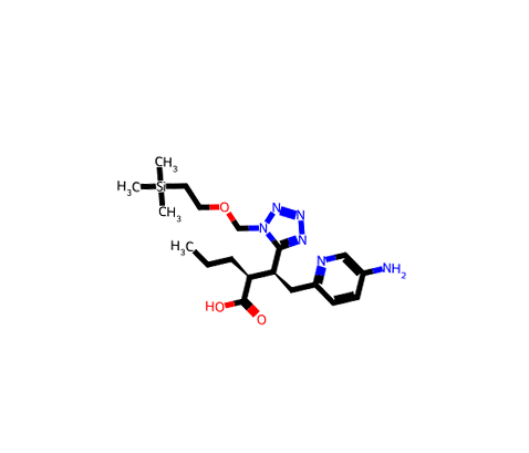 CCC[C@H](C(=O)O)[C@H](Cc1ccc(N)cn1)c1nnnn1COCC[Si](C)(C)C